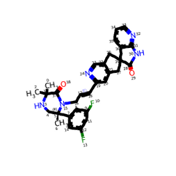 CC1(C)NC[C@@](C)(c2cc(F)cc(F)c2)N(C/C=C/c2cc3c(cn2)CC2(C3)C(=O)Nc3ncccc32)C1=O